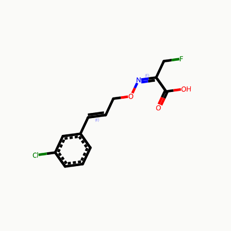 O=C(O)/C(CF)=N\OC/C=C/c1cccc(Cl)c1